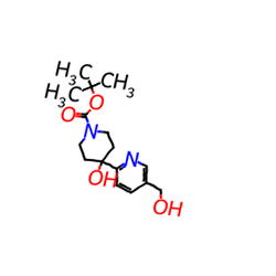 CC(C)(C)OC(=O)N1CCC(O)(c2ccc(CO)cn2)CC1